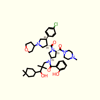 CN1CCN(C(=O)[C@@H]2C[C@H](N(CC(C)(C)C(O)C3CCC(C)(C)CC3)C(=O)c3ccccc3O)CN2C(=O)[C@@H]2CN(C3CCOCC3)C[C@H]2c2ccc(Cl)cc2)CC1